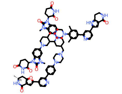 Cc1cc(-c2cc(-c3cc4c([nH]3)CCNC4=O)ccn2)cc(C)c1N1CCN(CC2CCN(c3ccc4c(c3)n(C)c(=O)n4C3CCC(=O)NC3=O)CC2C2CC(CN3CCN(c4ccc(-c5cc(-c6cc7c(o6)C[C@@H](C)NC7=O)ccn5)cc4)CC3)CCN2c2ccc3c(c2)n(C)c(=O)n3C2CCC(=O)NC2=O)CC1